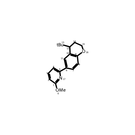 COc1cccc(-c2ccc3c(c2)C(C(C)(C)C)CCO3)n1